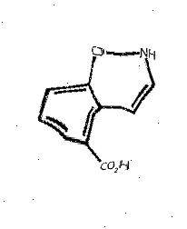 O=C(O)c1cccc2c1C=CNO2